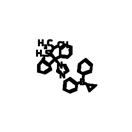 CC(C)[SiH2]C(c1ccccc1)(c1ccccc1)n1ccnc1.c1ccc(B(c2ccccc2)C2CC2)cc1